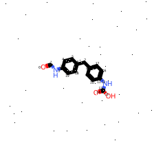 O=CNc1ccc(Cc2ccc(NC(=O)O)cc2)cc1